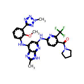 COc1c(Nc2cc(Nc3ccc(C(=O)N4CCCC4)c(C(F)(F)F)n3)nc3[nH]c(C)nc23)cccc1-c1nnn(C)n1